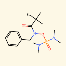 CCC(C)(C)C(=O)N(Cc1ccccc1)OP(=O)(N(C)C)N(C)C